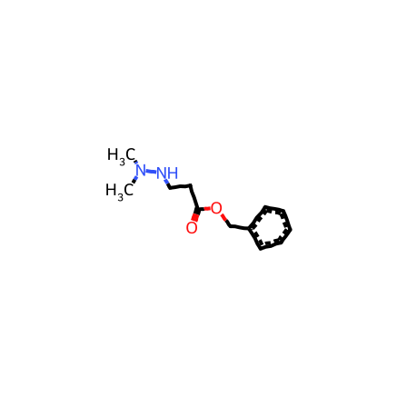 CN(C)NCCC(=O)OCc1ccccc1